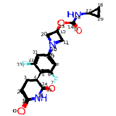 O=C1CC[C@@H](c2c(F)cc(N3CC(OC(=O)NC4CC4)C3)cc2F)C(=O)N1